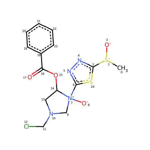 C[S+]([O-])c1nnc([N+]2([O-])CN(CCl)CC2OC(=O)c2ccccc2)s1